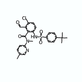 Cc1ccc(N(C)C(=O)c2c(NS(=O)(=O)c3ccc(C(C)(C)C)cc3)ccc(Cl)c2C=O)nc1